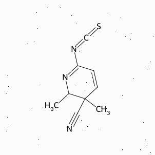 CC1N=C(N=C=S)C=CC1(C)C#N